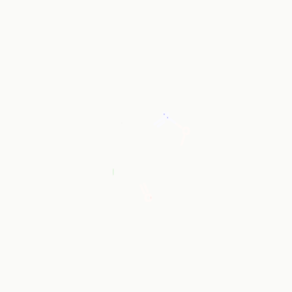 CC(C)c1onc(-c2ccccc2)c1C(=O)Cl